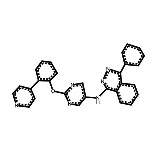 c1ccc(-c2nnc(Nc3cnc(Oc4ccccc4-c4ccncc4)nc3)c3ccccc23)cc1